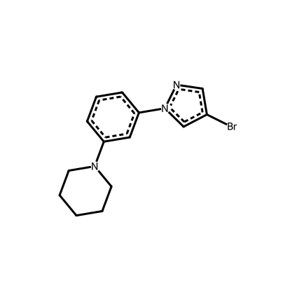 Brc1cnn(-c2cccc(N3CCCCC3)c2)c1